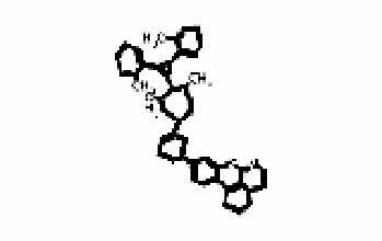 Cc1ccccc1C1=C(C2C(C)CCC(c3cccc(-c4ccc5c(c4)Sc4nccc6cccc-5c46)c3)CC2C)C1c1ccccc1C